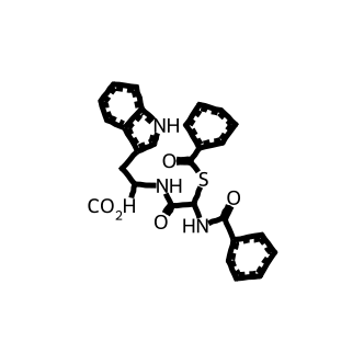 O=C(NC(SC(=O)c1ccccc1)C(=O)NC(Cc1c[nH]c2ccccc12)C(=O)O)c1ccccc1